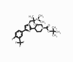 C[As](C)C(C)(C)Cn1cc(-c2ccc(F)c(C(F)(F)F)c2)nc1C1CCN(C(=O)OC(C)(C)C)CC1